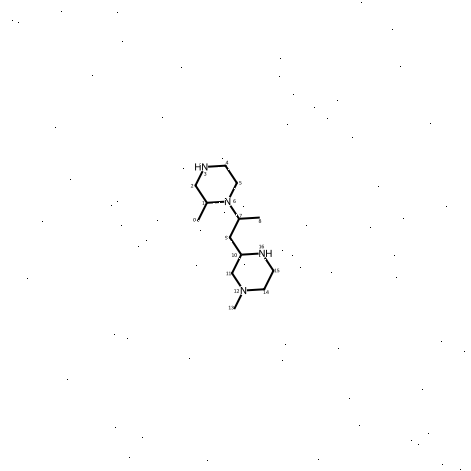 CC1CNCCN1C(C)CC1CN(C)CCN1